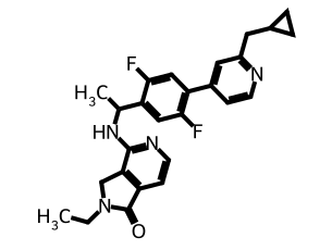 CCN1Cc2c(ccnc2NC(C)c2cc(F)c(-c3ccnc(CC4CC4)c3)cc2F)C1=O